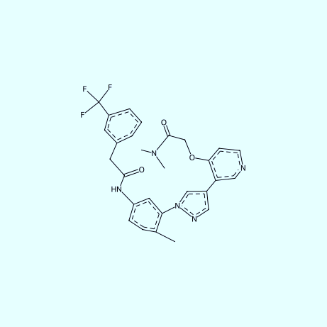 Cc1ccc(NC(=O)Cc2cccc(C(F)(F)F)c2)cc1-n1cc(-c2cnccc2OCC(=O)N(C)C)cn1